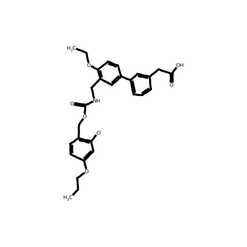 CCCOc1ccc(COC(=O)NCc2cc(-c3cccc(CC(=O)O)c3)ccc2OCC)c(Cl)c1